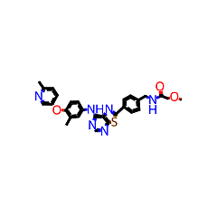 COCC(=O)NCc1ccc(-c2nc3c(Nc4ccc(Oc5ccc(C)nc5)c(C)c4)ncnc3s2)cc1